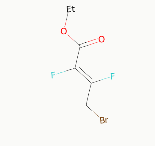 CCOC(=O)/C(F)=C(\F)CBr